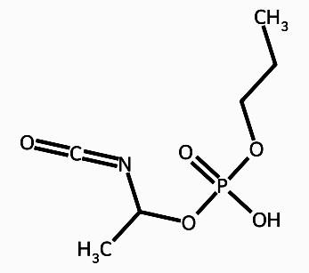 CCCOP(=O)(O)OC(C)N=C=O